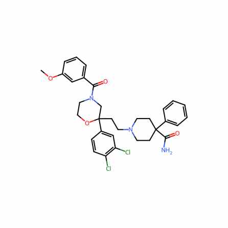 COc1cccc(C(=O)N2CCOC(CCN3CCC(C(N)=O)(c4ccccc4)CC3)(c3ccc(Cl)c(Cl)c3)C2)c1